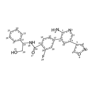 Nc1ncc(-c2cnoc2)cc1-c1ccc(C(=O)NC(CO)c2ccccc2)c(F)c1